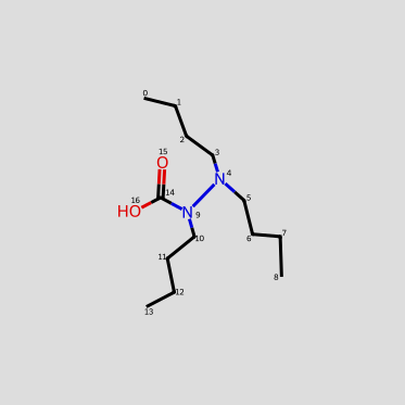 CCCCN(CCCC)N(CCCC)C(=O)O